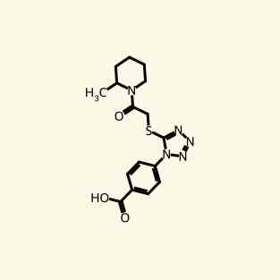 CC1CCCCN1C(=O)CSc1nnnn1-c1ccc(C(=O)O)cc1